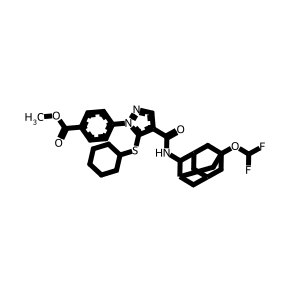 COC(=O)c1ccc(-n2ncc(C(=O)NC3C4CC5CC3CC(OC(F)F)(C5)C4)c2SC2CCCCC2)cc1